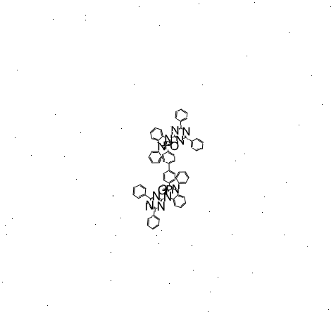 O=P1(c2ccc(-c3ccc(P4(=O)N(c5ccccc5)c5ccccc5N4c4nc(-c5ccccc5)nc(-c5ccccc5)n4)cc3)cc2)N(c2ccccc2)c2ccccc2N1c1nc(-c2ccccc2)nc(-c2ccccc2)n1